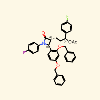 CC(=O)O[C@@H](CC[C@H]1C(=O)N(c2ccc(I)cc2)[C@@H]1c1ccc(OCc2ccccc2)cc1OCc1ccccc1)c1ccc(F)cc1